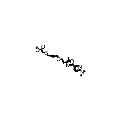 COC(=O)CSCC#CCOCCc1nc(-c2ccc(N(C)C)nc2)oc1C